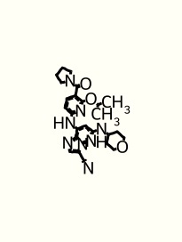 CC(C)Oc1nc(Nc2cc(NC3CCOCC3)nn3c(C#N)cnc23)ccc1C(=O)N1CCCC1